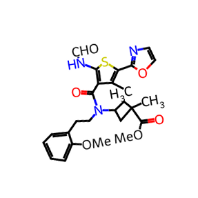 COC(=O)C1(C)CC(N(CCc2ccccc2OC)C(=O)c2c(NC=O)sc(-c3ncco3)c2C)C1